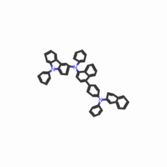 c1ccc(N(c2ccc(-c3ccc(N(c4ccccc4)c4ccc5c(c4)c4ccccc4n5-c4ccccc4)c4ccccc34)cc2)c2ccc3ccccc3c2)cc1